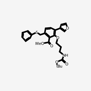 COC(=O)c1c(CSc2ccccc2)ccc(-c2ccoc2)c1OCCCNC(=O)OC(C)(C)C